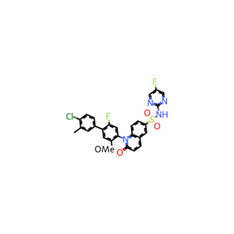 COc1cc(-c2ccc(Cl)c(C)c2)c(F)cc1-n1c(=O)ccc2cc(S(=O)(=O)Nc3ncc(F)cn3)ccc21